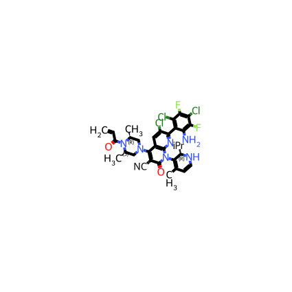 C=CC(=O)N1[C@H](C)CN(c2c(C#N)c(=O)n(C3=C(C)C=CN[C@@H]3C(C)C)c3nc(-c4c(N)c(F)c(Cl)c(F)c4Cl)c(Cl)cc23)C[C@@H]1C